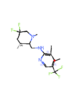 C\C=C(/C=N\C(NCC1[C@H](C)CC(F)(F)CN1C)=C(\C)CC)C(F)(F)F